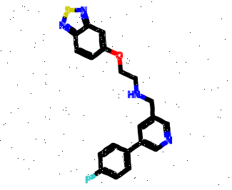 Fc1ccc(-c2cncc(CNCCOc3ccc4nsnc4c3)c2)cc1